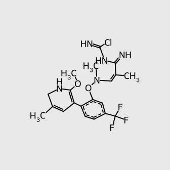 COC1=C(c2ccc(C(F)(F)F)cc2ON(C)/C=C(/C)C(=N)NC(=N)Cl)C=C(C)CN1